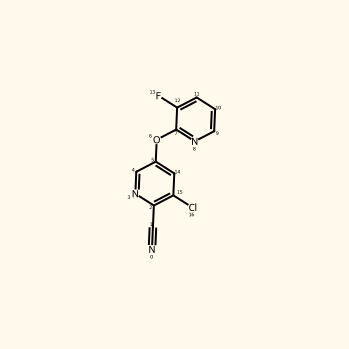 N#Cc1ncc(Oc2ncccc2F)cc1Cl